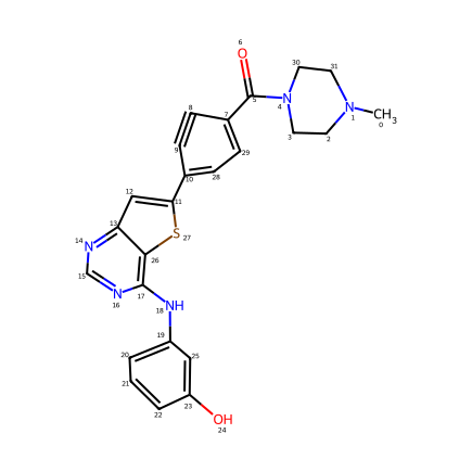 CN1CCN(C(=O)c2c#cc(-c3cc4ncnc(Nc5cccc(O)c5)c4s3)cc2)CC1